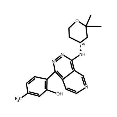 CC1(C)C[C@H](Nc2nnc(-c3ccc(C(F)(F)F)cc3O)c3ccncc23)CCO1